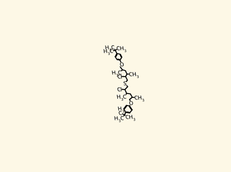 CC(COc1ccc(C(C)(C)C)cc1)CC(C)C(Cl)CSCC(Cl)C(C)CC(C)COc1ccc(C(C)(C)C)cc1